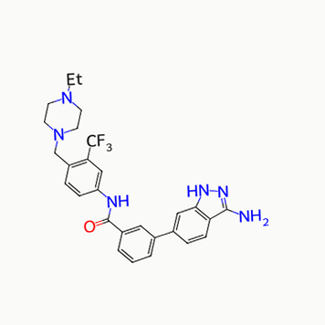 CCN1CCN(Cc2ccc(NC(=O)c3cccc(-c4ccc5c(N)n[nH]c5c4)c3)cc2C(F)(F)F)CC1